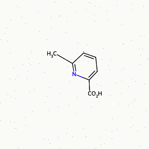 Cc1[c]ccc(C(=O)O)n1